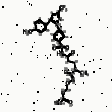 Cc1ccc(-c2cc(C(F)(F)F)nn2-c2ccc(S(=O)(=O)NC(=O)CCN(C)[N+]([O-])=NOCOC(=O)C(C)(C)C)cc2)cc1